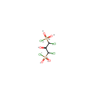 O=C(C(Cl)S(=O)(=O)Cl)C(Cl)S(=O)(=O)Cl